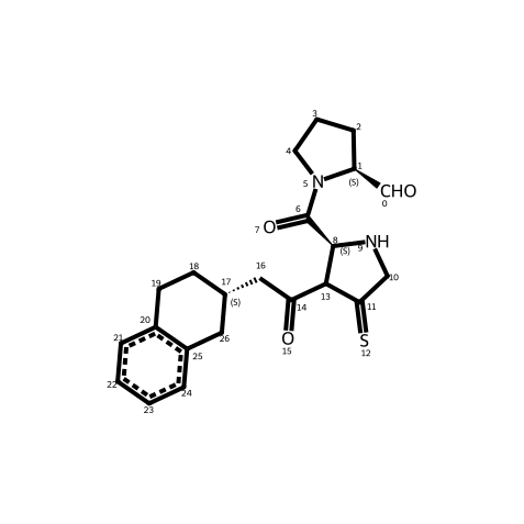 O=C[C@@H]1CCCN1C(=O)[C@H]1NCC(=S)C1C(=O)C[C@H]1CCc2ccccc2C1